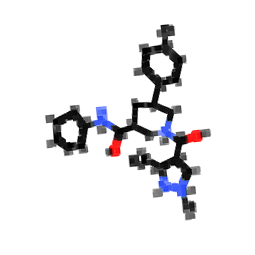 CCc1ccc(C2CC(C(=O)Nc3ccccc3)CN(C(=O)c3cn(CC)nc3C)C2)cc1